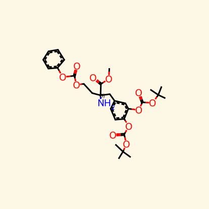 COC(=O)[C@@](N)(CCOC(=O)Oc1ccccc1)Cc1ccc(OC(=O)OC(C)(C)C)c(OC(=O)OC(C)(C)C)c1